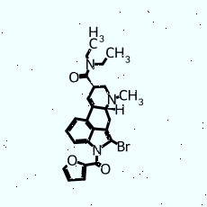 CCN(CC)C(=O)[C@@H]1C=C2c3cccc4c3c(c(Br)n4C(=O)c3ccco3)C[C@H]2N(C)C1